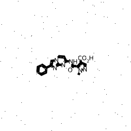 Cn1ncc(C(=O)O)c1C(=O)Nc1ccn2cc(-c3ccccc3)nc2n1